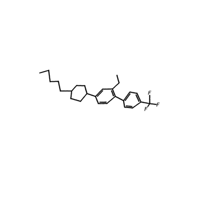 CCCCCC1CCC(c2ccc(-c3ccc(C(F)(F)F)cc3)c(CC)c2)CC1